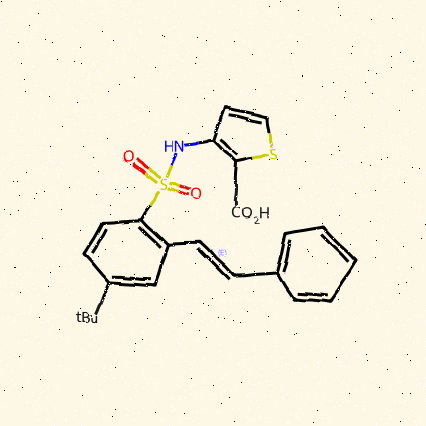 CC(C)(C)c1ccc(S(=O)(=O)Nc2ccsc2C(=O)O)c(/C=C/c2ccccc2)c1